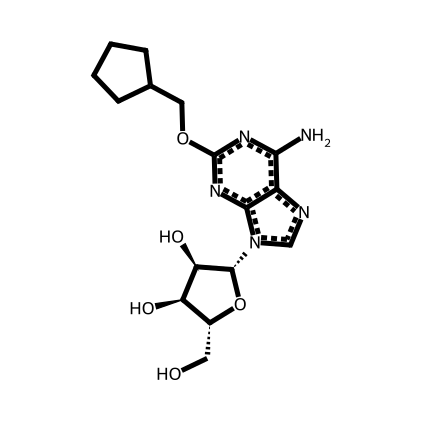 Nc1nc(OCC2CCCC2)nc2c1ncn2[C@@H]1O[C@H](CO)[C@@H](O)[C@H]1O